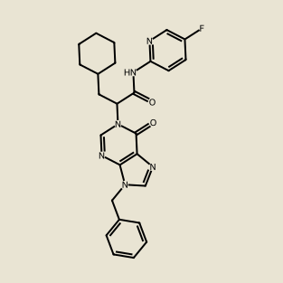 O=C(Nc1ccc(F)cn1)C(CC1CCCCC1)n1cnc2c(ncn2Cc2ccccc2)c1=O